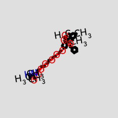 Cc1cc(C)c(C2=C(OCc3ccccc3)[C@]3(CC[C@H](OCCOCCOCCOCCOCC(=O)NC(C=O)C(C)(C)C)CC3)OC2=O)c(C)c1